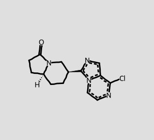 O=C1CC[C@@H]2CC[C@H](c3ncc4c(Cl)nccn34)CN12